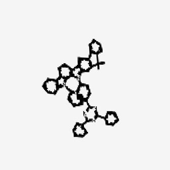 CC1(C)c2ccccc2-c2cc3c4ccc5c6ccccc6n(-c6ccccc6)c5c4n(-c4ccc(-c5nc(-c6ccccc6)nc(-c6ccccc6)n5)cc4)c3cc21